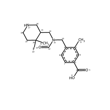 Cc1cc(C(=O)O)ccc1CN(C=O)CC1CNCCC1(C)F